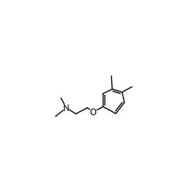 Cc1ccc(OCCN(C)C)cc1C